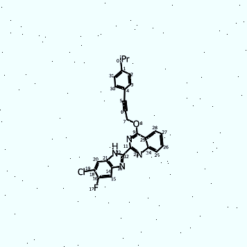 CC(C)c1ccc(C#CCOc2nc(-c3nc4cc(F)c(Cl)cc4[nH]3)nc3ccccc23)cc1